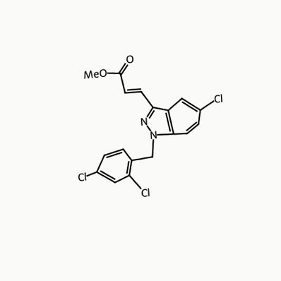 COC(=O)/C=C/c1nn(Cc2ccc(Cl)cc2Cl)c2ccc(Cl)cc12